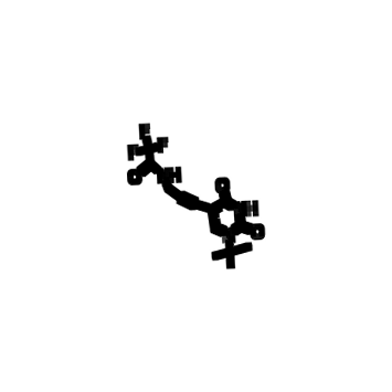 CC(C)(C)n1cc(C#CCNC(=O)C(F)(F)F)c(=O)[nH]c1=O